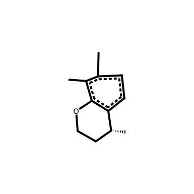 Cc1ccc2c(c1C)OCC[C@H]2C